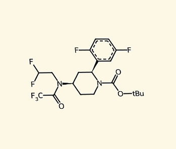 CC(C)(C)OC(=O)N1CC[C@@H](N(CC(F)F)C(=O)C(F)(F)F)C[C@H]1c1cc(F)ccc1F